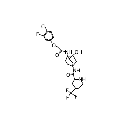 O=C(COc1ccc(Cl)c(F)c1)NC12CCC(NC(=O)C3CC(C(F)(F)F)CCN3)(CC1)CC2O